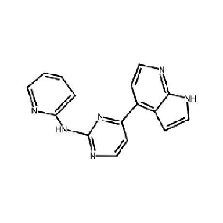 c1ccc(Nc2nccc(-c3ccnc4[nH]ccc34)n2)nc1